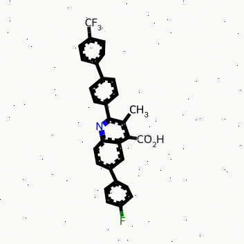 Cc1c(-c2ccc(-c3ccc(C(F)(F)F)cc3)cc2)nc2ccc(-c3ccc(F)cc3)cc2c1C(=O)O